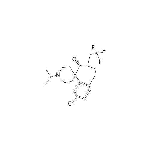 CC(C)N1CCC2(CC1)C(=O)C(CC(F)(F)F)CCc1ccc(Cl)cc12